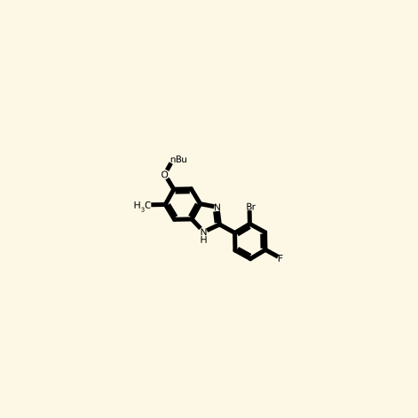 CCCCOc1cc2nc(-c3ccc(F)cc3Br)[nH]c2cc1C